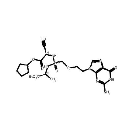 C#C[C@@H](NP(=O)(COCCn1cnc2c(=O)[nH]c(N)nc21)N[C@@H](C)C(=O)OCC)C(=O)OC1CCCC1